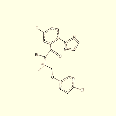 CCN(C(=O)c1cc(F)ccc1-n1nccn1)[C@@H](C)COc1ccc(Cl)cn1